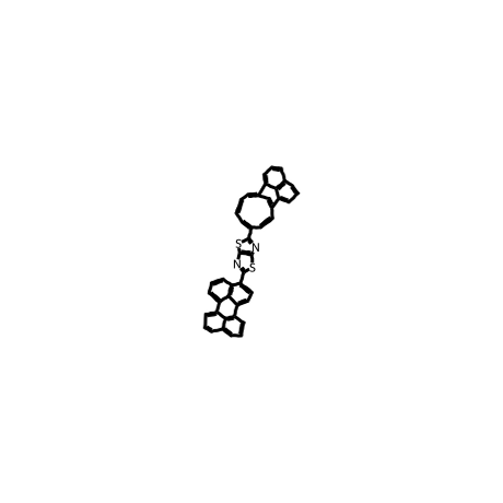 c1ccc2cc(ccc(-c3nc4sc(-c5ccc6c7cccc8cccc(c9cccc5c96)c87)nc4s3)c1)c1cccc3cccc2c31